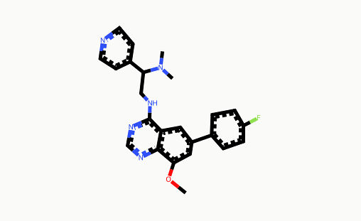 COc1cc(-c2ccc(F)cc2)cc2c(NCC(c3ccncc3)N(C)C)ncnc12